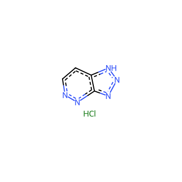 Cl.c1cc2[nH]nnc2nn1